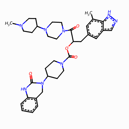 Cc1cc(CC(OC(=O)N2CCC(N3Cc4ccccc4NC3=O)CC2)C(=O)N2CCN(C3CCN(C)CC3)CC2)cc2cn[nH]c12